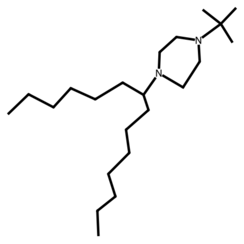 CCCCCCCC(CCCCCC)N1CCN(C(C)(C)C)CC1